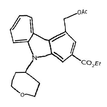 CCOC(=O)c1cc(COC(C)=O)c2c3ccccc3n(C3CCOCC3)c2c1